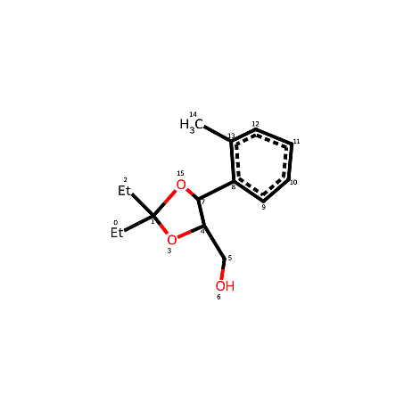 CCC1(CC)OC(CO)C(c2ccccc2C)O1